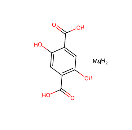 O=C(O)c1cc(O)c(C(=O)O)cc1O.[MgH2]